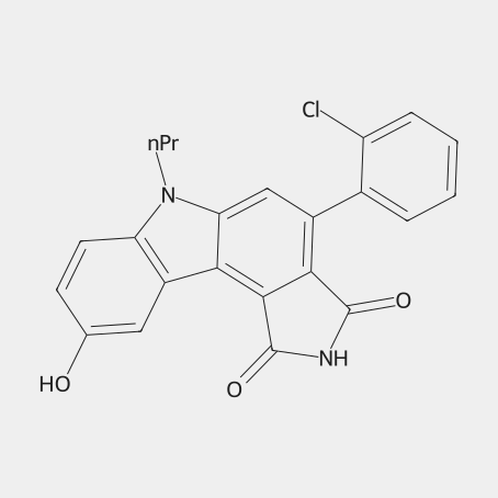 CCCn1c2ccc(O)cc2c2c3c(c(-c4ccccc4Cl)cc21)C(=O)NC3=O